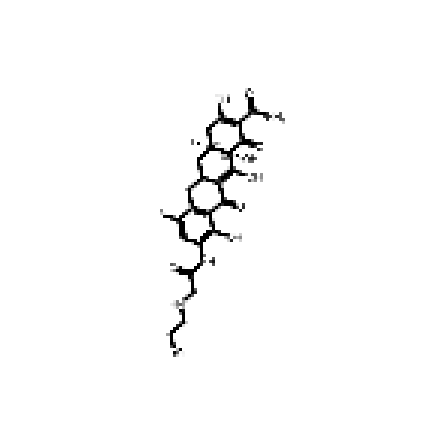 CC(C)CCNCC(=O)Nc1cc(F)c2c(c1O)C(=O)C1=C(O)[C@]3(O)C(=O)C(C(N)=O)=C(O)C[C@@H]3CC1C2